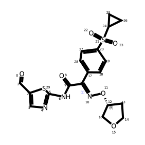 O=Cc1cnc(NC(=O)/C(=N/O[C@@H]2CCOC2)c2ccc(S(=O)(=O)C3CC3)cc2)s1